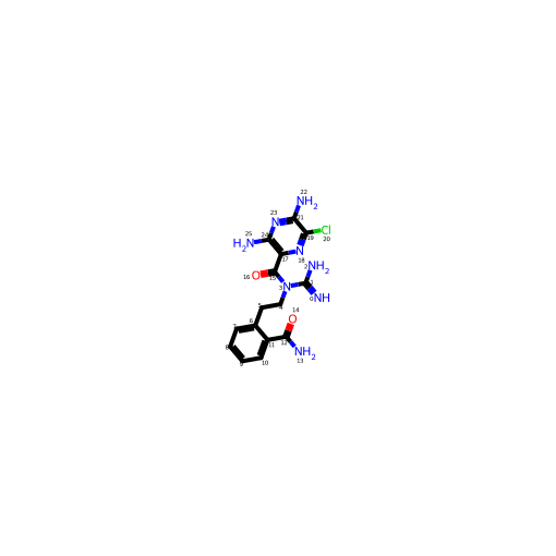 N=C(N)N(CCc1ccccc1C(N)=O)C(=O)c1nc(Cl)c(N)nc1N